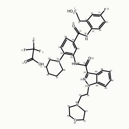 O=C(O)C(F)(F)F.O=C(O)Cc1cc(F)ccc1NC(=O)c1ccc(N2CCCCC2)c(NC(=O)c2nn(CCN3CCOCC3)c3ccccc23)c1